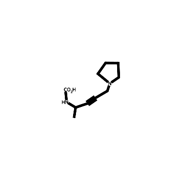 CC(C#CCN1CCCC1)NC(=O)O